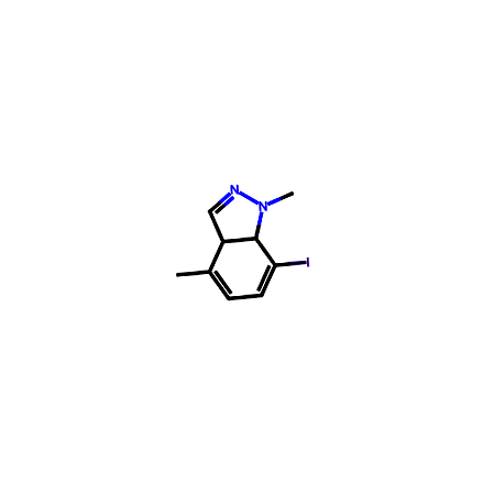 CC1=CC=C(I)C2C1C=NN2C